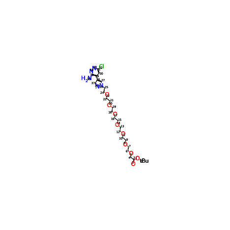 CC(C)(C)OC(=O)COCCOCCOCCOCCOCCOCCOCCn1cc(-c2cc(Cl)nnc2N)cn1